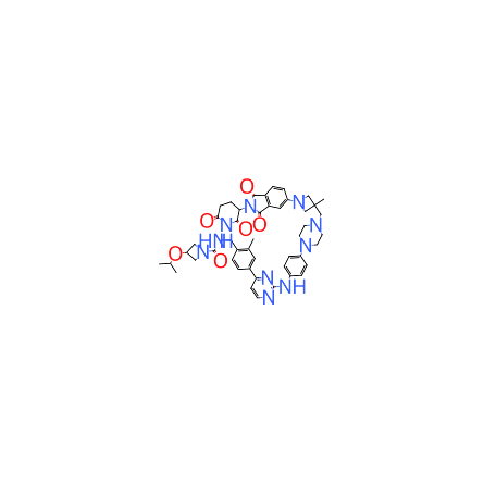 Cc1cc(-c2ccnc(Nc3ccc(N4CCN(CC5(C)CN(c6ccc7c(c6)C(=O)N(C6CCC(=O)NC6=O)C7=O)C5)CC4)cc3)n2)ccc1CNC(=O)N1CC(OC(C)C)C1